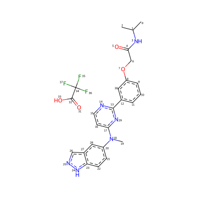 CC(C)NC(=O)COc1cccc(-c2nccc(N(C)c3ccc4[nH]ncc4c3)n2)c1.O=C(O)C(F)(F)F